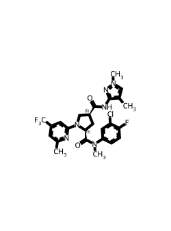 Cc1cc(C(F)(F)F)cc(N2C[C@@H](C(=O)Nc3nn(C)cc3C)C[C@H]2C(=O)N(C)c2ccc(F)c(Cl)c2)n1